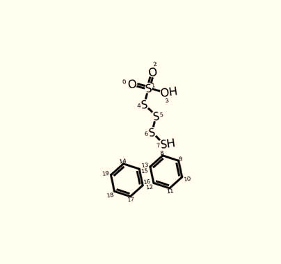 O=S(=O)(O)SSSS.c1ccccc1.c1ccccc1